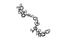 O=C1CCC(N2C(=O)c3cccc(NCCCOC4CCN(CC5OCC(n6cc(NC(=O)c7cnn8ccc(N9CCOCC9)nc78)c(C(F)F)n6)CO5)CC4)c3C2=O)C(=O)N1